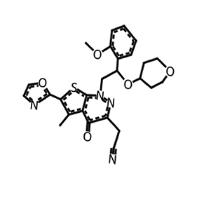 COc1ccccc1C(Cn1nc(CC#N)c(=O)c2c(C)c(-c3ncco3)sc21)OC1CCOCC1